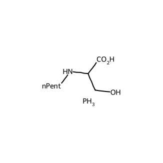 CCCCCNC(CO)C(=O)O.P